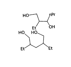 CCC(CO)CC(CC)CO.CCCC(O)C(CC)CO